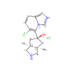 Cl.O[C@@]1(c2c(Cl)ccc3cncn23)C[C@H]2CNC[C@H]2C1